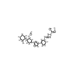 COCc1cc(-c2nc(-c3cccc(CNCCC(=O)OC)c3)co2)ccc1-c1ccccc1C